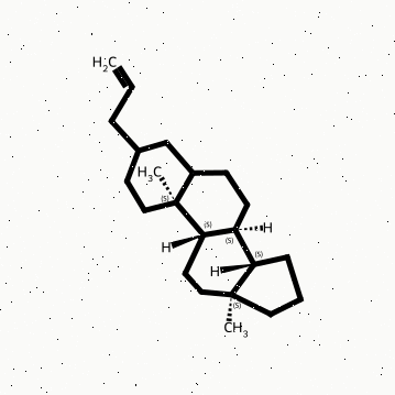 C=CCC1CC[C@@]2(C)C(CC[C@H]3[C@@H]4CC[CH][C@@]4(C)CC[C@@H]32)C1